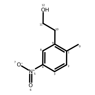 Cc1ccc([N+](=O)[O-])cc1CCO